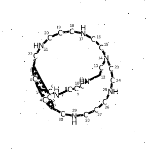 c1c2cc3cc1CNCCCNCCN(CCNCCCNC2)CCNCCCNC3